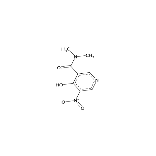 CN(C)C(=O)c1cncc([N+](=O)[O-])c1O